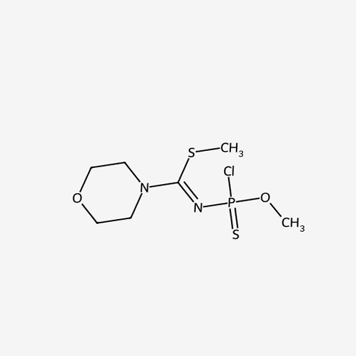 COP(=S)(Cl)N=C(SC)N1CCOCC1